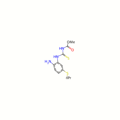 CCCSc1ccc(N)c(NC(=S)NC(=O)OC)c1